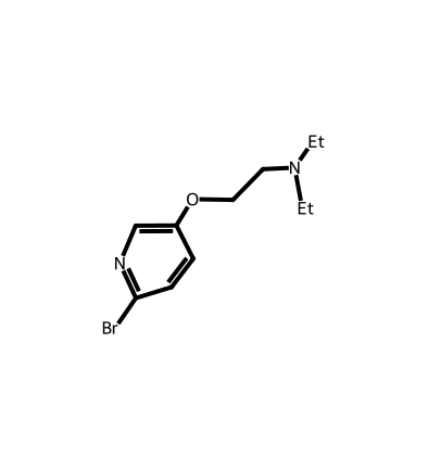 CCN(CC)CCOc1ccc(Br)nc1